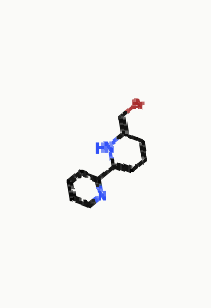 BrC=C1C=CC=C(c2ccccn2)N1